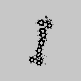 CC(C)(C)c1ccccc1N(c1ccccc1)c1ccc2cc3c(cc2c1)oc1cc2c(cc13)oc1cc3cc(N4c5ccccc5C(C)(C)c5ccccc54)ccc3cc12